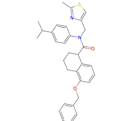 Cc1nc(CN(C(=O)C2CCCc3c(OCc4ccccc4)cccc32)c2ccc(C(C)C)cc2)cs1